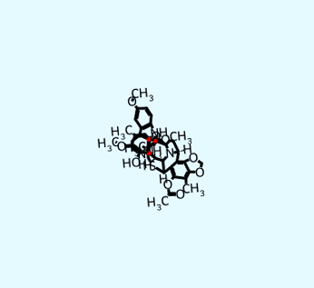 COc1ccc2[nH]c3c(c2c1)CCN[C@]31CS[C@@H]2c3c(OC(C)=O)c(C)c4c(c3[C@H](COC1=O)N1[C@@H]2[C@@H]2c3c(cc(C)c(OC)c3O)CC1(C)CN2C)OCO4